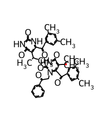 Cc1cc(C)cc(C(=O)c2[nH]c(=O)[nH]c(=O)c2C(C)C)c1.Cc1cc(C)cc(C(=O)c2c(C(C)C)c(=O)[nH]c(=O)n2CC(=O)c2ccccc2)c1